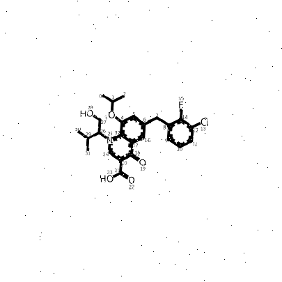 CC(C)Oc1cc(Cc2cccc(Cl)c2F)cc2c(=O)c(C(=O)O)cn(C(CO)C(C)C)c12